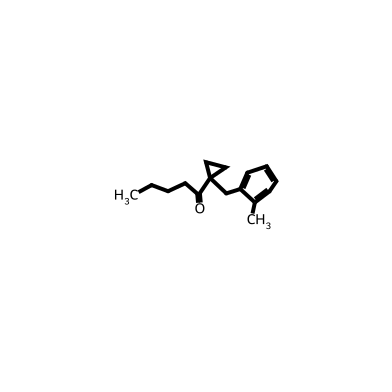 CCCCC(=O)C1(Cc2ccccc2C)CC1